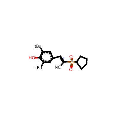 CC(C)(C)c1cc(/C=C(\C#N)S(=O)(=O)C2CCCC2)cc(C(C)(C)C)c1O